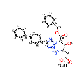 CC(C)(C)OC(=O)CC(N)C(=O)C(C(=O)OCc1ccccc1)n1nnc(-c2ccc(-c3ccccc3)cc2)n1